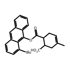 CC1=CCC(C(=O)Oc2c3ccccc3cc3cccc(C(C)(C)C)c23)C(C(=O)O)C1